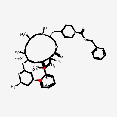 CCCN1C[C@H](C)C[C@@](C)(OC)[C@H](O[C@@H]2O[C@H](C)C[C@H](N(C)C)[C@H]2OC(=O)c2ccccc2)[C@@H](C)C(=O)C(C)(C)C(=O)OC[C@H]1CC1CCN(C(=O)OCc2ccccc2)CC1